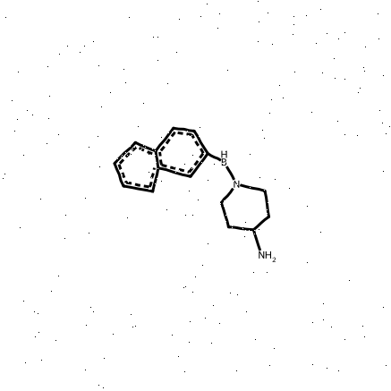 NC1CCN(Bc2ccc3ccccc3c2)CC1